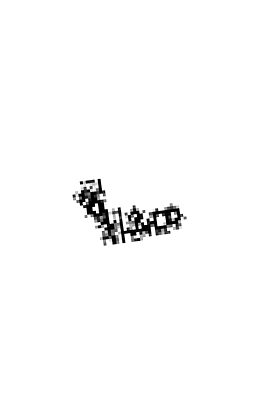 CC(C)(C)C(NC(=O)c1cc2cc(C(F)(F)P(=O)(O)O)ccc2s1)C(=O)N1CCC[C@H]1C(=O)N1CCc2ccccc2CC1